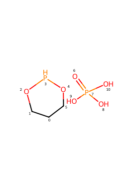 C1COPOC1.O=P(O)(O)O